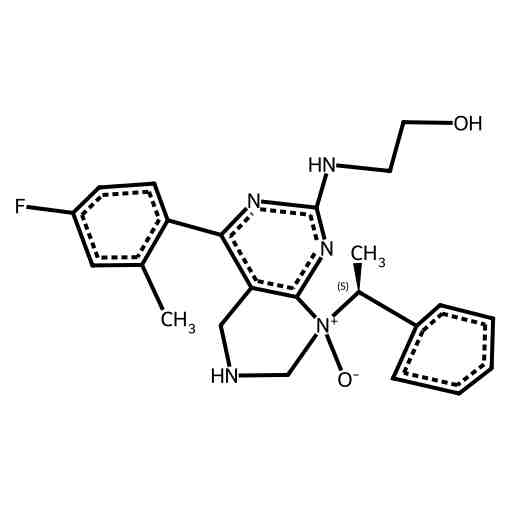 Cc1cc(F)ccc1-c1nc(NCCO)nc2c1CNC[N+]2([O-])[C@@H](C)c1ccccc1